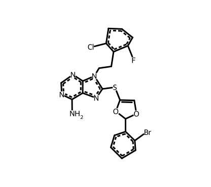 Nc1ncnc2c1nc(SC1=COC(c3ccccc3Br)O1)n2CCc1c(F)cccc1Cl